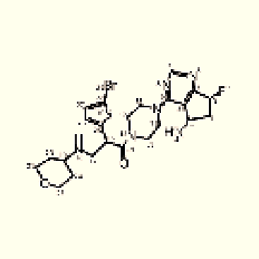 C[C@@H]1C[C@H](F)c2ncnc(N3CCN(C(=O)C(CNC4CCOCC4)c4ccc(Br)s4)CC3)c21